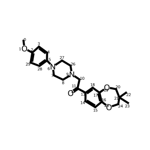 COc1ccc(N2CCN(CC(=O)c3ccc4c(c3)OCC(C)(C)CO4)CC2)cc1